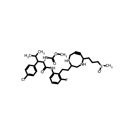 COC(=O)N[C@H](C(=O)Nc1cccc(F)c1CCC1CNC(CCC[S+](C)[O-])C#CCN1)C(c1ccc(Cl)cc1)C(C)C